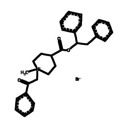 C[N+]1(CC(=O)c2ccccc2)CCC(C(=O)OC(Cc2ccccc2)c2ccccc2)CC1.[Br-]